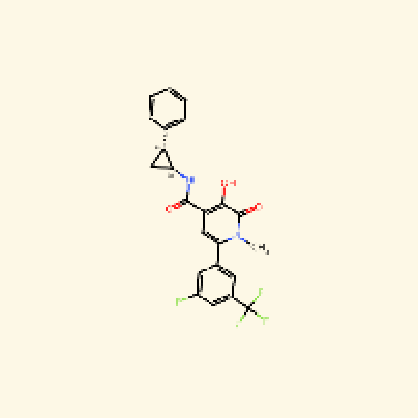 Cn1c(-c2cc(F)cc(C(F)(F)F)c2)cc(C(=O)N[C@H]2C[C@@H]2c2ccccc2)c(O)c1=O